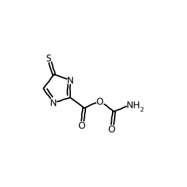 NC(=O)OC(=O)C1=NC(=S)C=N1